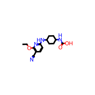 CCOc1nc(NC2CCC(NC(=O)O)CC2)ccc1C#N